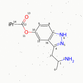 CC(N)Cc1n[nH]c2ccc(OC(=O)C(C)C)cc12